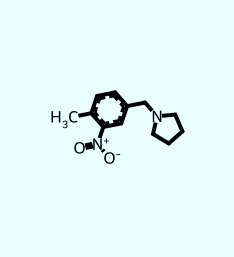 Cc1ccc(CN2CCCC2)cc1[N+](=O)[O-]